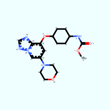 CC(C)(C)OC(=O)NC1CCC(Oc2cc(N3CCOCC3)cn3ncnc23)CC1